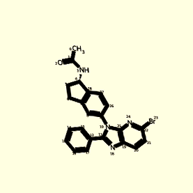 CC(=O)N[C@H]1CCc2cc(-n3c(-c4ccccc4)nc4ccc(Br)nc43)ccc21